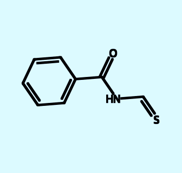 O=C(NC=S)c1ccccc1